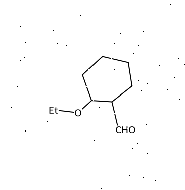 CCOC1CCCCC1C=O